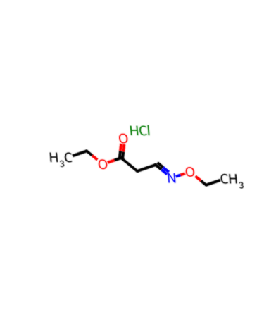 CCON=CCC(=O)OCC.Cl